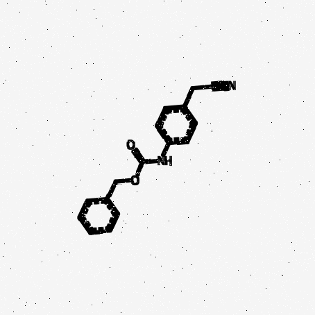 N#CCc1ccc(NC(=O)OCc2ccccc2)cc1